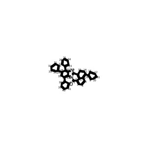 O=c1c2cccc3c(-c4ccccc4)ccc(c32)c2nc3c(-c4ccccc4)c(-c4ccccc4)cc(-c4ccccc4)c3n12